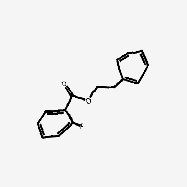 O=C(OCCc1ccccc1)c1ccccc1F